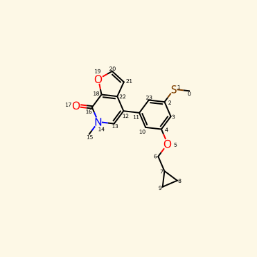 CSc1cc(OCC2CC2)cc(-c2cn(C)c(=O)c3occc23)c1